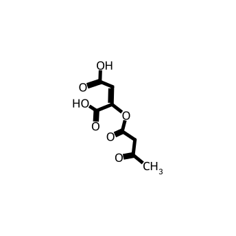 CC(=O)CC(=O)OC(=CC(=O)O)C(=O)O